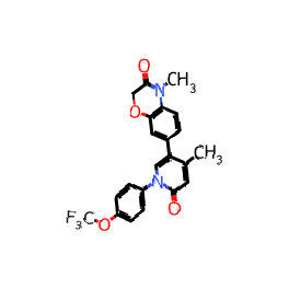 Cc1cc(=O)n(-c2ccc(OC(F)(F)F)cc2)cc1-c1ccc2c(c1)OCC(=O)N2C